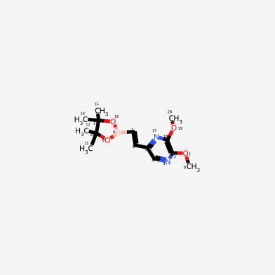 COc1ncc(/C=C/B2OC(C)(C)C(C)(C)O2)nc1OC